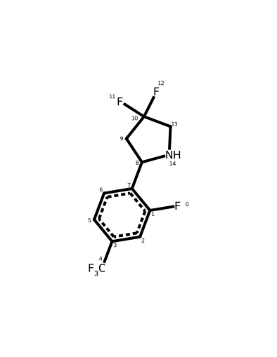 Fc1cc(C(F)(F)F)ccc1C1CC(F)(F)CN1